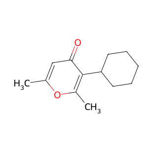 Cc1cc(=O)c(C2CCCCC2)c(C)o1